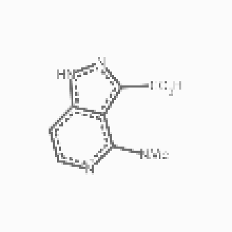 CNc1nccc2[nH]nc(C(=O)O)c12